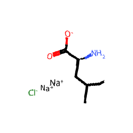 CC(C)C[C@H](N)C(=O)[O-].[Cl-].[Na+].[Na+]